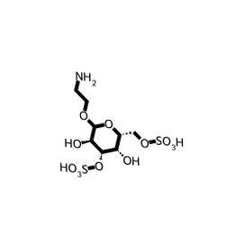 NCCOC1O[C@H](COS(=O)(=O)O)[C@H](O)[C@H](OS(=O)(=O)O)[C@H]1O